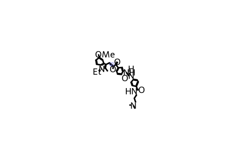 CCn1c(C)c(/C=C2\Oc3ccc(NC(=O)Nc4ccc(C(=O)NCCCN(C)C)cc4)cc3C2=O)c2cc(OC)ccc21